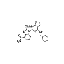 COc1nc2c(C(N)=O)cccc2n1-c1nc(NCc2ccccc2)c2c(n1)OCC2